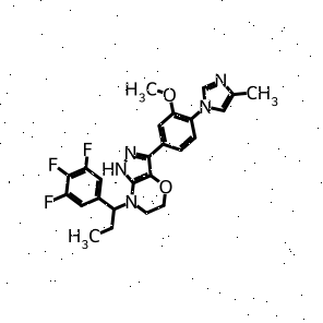 CCC(c1cc(F)c(F)c(F)c1)N1CCOc2c(-c3ccc(-n4cnc(C)c4)c(OC)c3)n[nH]c21